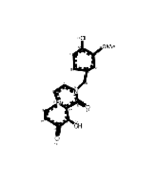 COc1cc(Cn2ccn3ccc(=O)c(O)c3c2=O)ccc1Cl